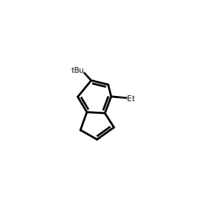 CCc1cc(C(C)(C)C)cc2c1C=CC2